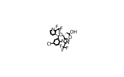 O=C(O)C[C@H]1O[C@H](c2cccnc2C(F)(F)F)c2cc(Cl)ccc2-n2c1nnc2C(F)(F)F